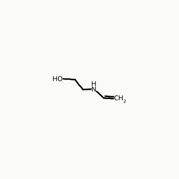 C=CNCCO